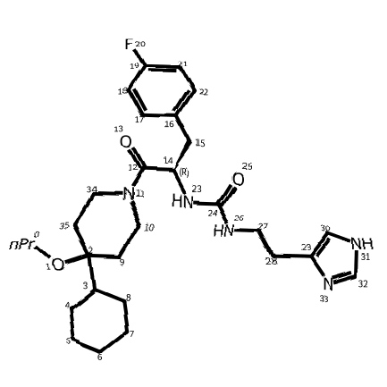 CCCOC1(C2CCCCC2)CCN(C(=O)[C@@H](Cc2ccc(F)cc2)NC(=O)NCCc2c[nH]cn2)CC1